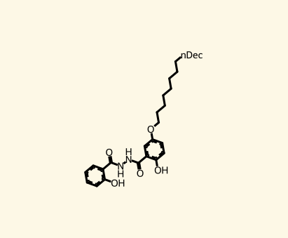 CCCCCCCCCCCCCCCCCCOc1ccc(O)c(C(=O)NNC(=O)c2ccccc2O)c1